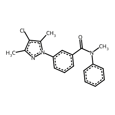 Cc1nn(-c2cccc(C(=O)N(C)c3ccccc3)c2)c(C)c1Cl